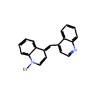 CCN1C=CC(=Cc2ccnc3ccccc23)c2ccccc21